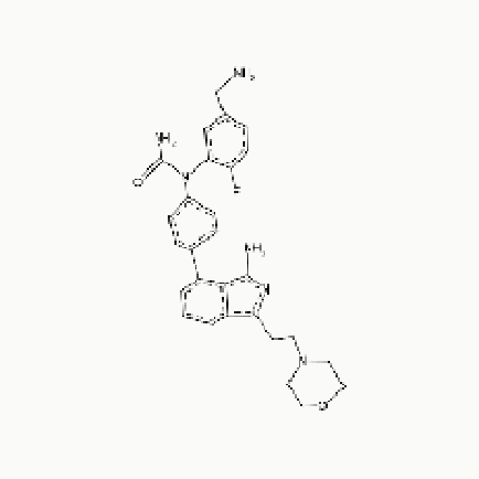 NCc1ccc(F)c(N(C(N)=O)c2ccc(-c3cccc4c3c(N)nn4CCN3CCOCC3)cc2)c1